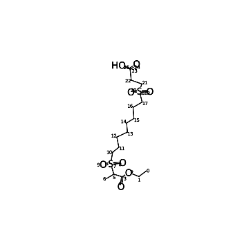 CCOC(=O)C(C)S(=O)(=O)CCCCCCCCS(=O)(=O)CCC(=O)O